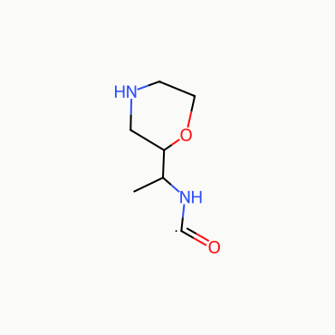 CC(N[C]=O)C1CNCCO1